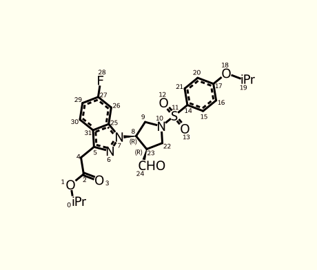 CC(C)OC(=O)Cc1nn([C@H]2CN(S(=O)(=O)c3ccc(OC(C)C)cc3)C[C@H]2C=O)c2cc(F)ccc12